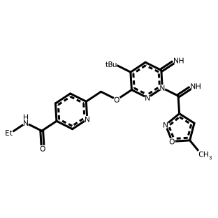 CCNC(=O)c1ccc(COc2nn(C(=N)c3cc(C)on3)c(=N)cc2C(C)(C)C)nc1